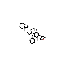 CN1CC2N(C(=O)C3(F)CCCCC3)CCC2(S(=O)(=O)c2cccc(F)c2)c2ccc(C(F)(C(F)(F)F)C(F)(F)F)cc21